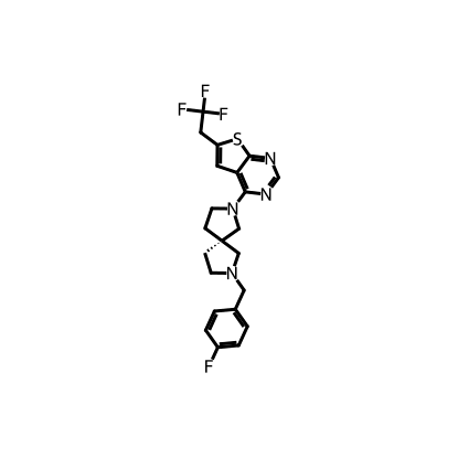 Fc1ccc(CN2CC[C@@]3(CCN(c4ncnc5sc(CC(F)(F)F)cc45)C3)C2)cc1